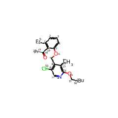 CCc1cccc(OCc2c(Cl)cnc(OCC(C)CC)c2C)c1C(=O)C(C)C